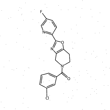 O=C(c1cccc(Cl)c1)N1CCc2oc(-c3ccc(F)cn3)nc2C1